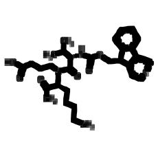 CC(C)[C@H](NC(=O)OCC1c2ccccc2-c2ccccc21)C(=O)N(CCCC(=O)O)[C@@H](CCCCN)C(N)=O